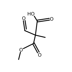 COC(=O)C(C)(C=O)C(=O)O